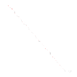 COCCOCCOCCOCCOCCOCCOCCOCCOCCOCCOCCOCCOCCOCCOCCOCCOS(=O)(=O)O